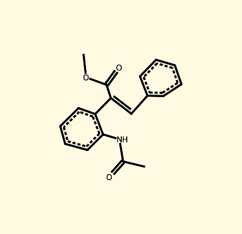 COC(=O)C(=Cc1ccccc1)c1ccccc1NC(C)=O